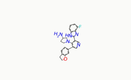 NC1CCN(c2c(-c3ccc4c(c3)OCC4)cncc2-c2nc3c(F)cccc3[nH]2)C1